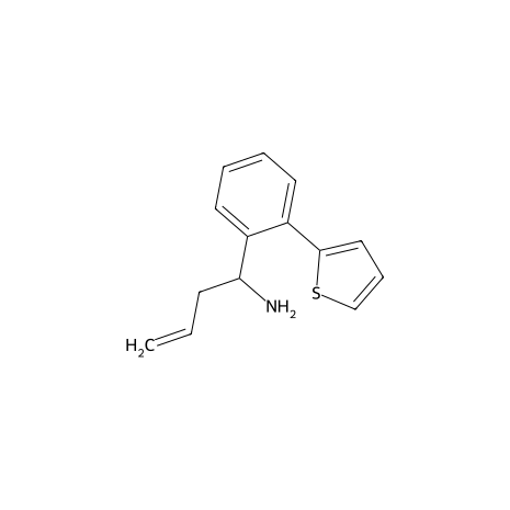 C=CCC(N)c1ccccc1-c1cccs1